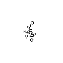 CSc1cn(CC2(O)CCN(C(=O)CCC3CCCCC3)CC2(C)C)c(=O)cc1-c1ccccc1